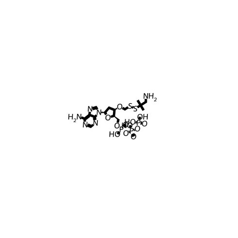 CC(C)(CN)SSCO[C@@H]1C[C@H](n2cnc3c(N)ncnc32)O[C@@H]1COP(=O)(O)OP(=O)(O)OP(=O)(O)O